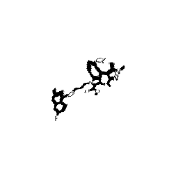 CCc1nn(C)c(C)c1-c1c(Cl)ccc2c1c(I)c(C(=O)OC)n2CCCOc1cc(C)cc2cc(F)ccc12